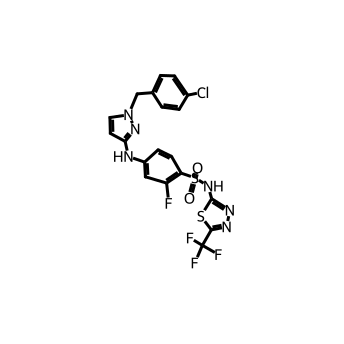 O=S(=O)(Nc1nnc(C(F)(F)F)s1)c1ccc(Nc2ccn(Cc3ccc(Cl)cc3)n2)cc1F